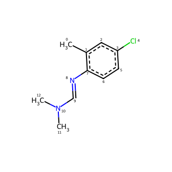 Cc1cc(Cl)ccc1N=CN(C)C